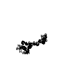 Cc1cc(F)c(Nc2nc(-c3ccc4c(c3)N([C@H]3C[C@@H](N5CCCCC5)C3)C(=O)C43CCN(C(=O)CC4CCCN(CC5CCN(c6cccc7c6C(=O)N(C6CCC(=O)NC6=O)C7=O)C5)C4)CC3)cc3ncn(C(C)C)c23)cc1C(=O)NC(C)C